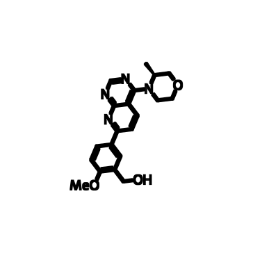 COc1ccc(-c2ccc3c(N4CCOC[C@@H]4C)ncnc3n2)cc1CO